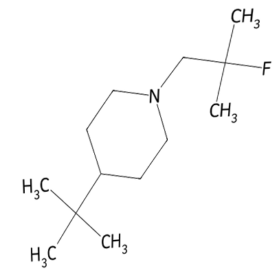 CC(C)(F)CN1CCC(C(C)(C)C)CC1